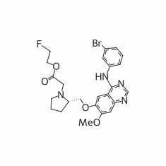 COc1cc2ncnc(Nc3cccc(Br)c3)c2cc1OC[C@@H]1CCCN1CC(=O)OCCF